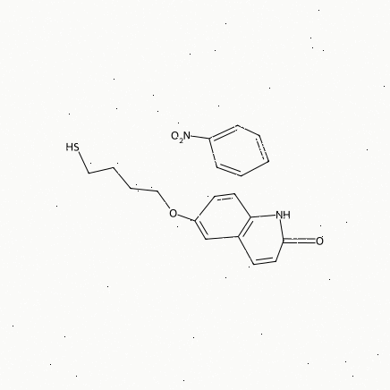 O=[N+]([O-])c1ccccc1.O=c1ccc2cc(OCCCCS)ccc2[nH]1